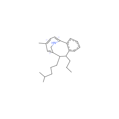 CCCC1c2ccccc2/C2=C/C=C(C)\C=C(/CN2)C1CCCC(C)C